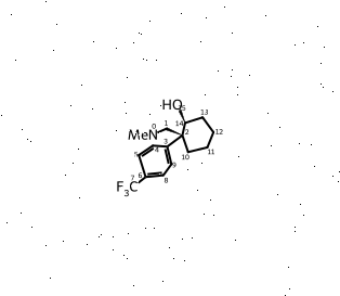 CNC[C@]1(c2ccc(C(F)(F)F)cc2)CCCC[C@@H]1O